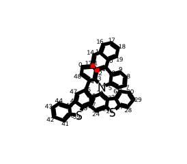 c1ccc(N(c2ccccc2-c2cccc3ccccc23)c2cccc3sc4ccccc4c23)c(-c2ccc3sc4ccccc4c3c2)c1